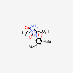 COc1cc(N2C(=O)[N+](C)(C(N)=O)C[C@H]2C(=O)O)c(O)c(C(C)(C)C)c1